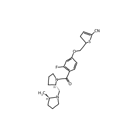 C[C@@H]1CCCN1C[C@@H]1CCCN1C(=O)c1ccc(OCC2CC=C(C#N)S2)cc1F